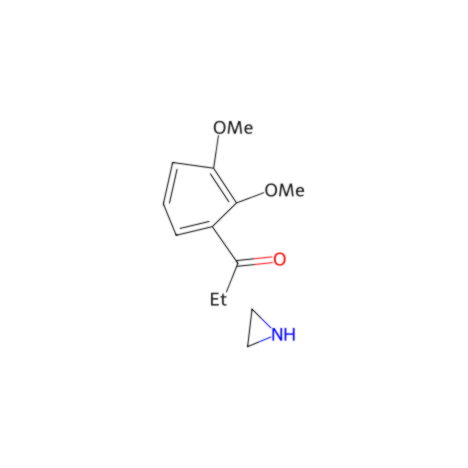 C1CN1.CCC(=O)c1cccc(OC)c1OC